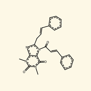 Cn1c(=O)c2c(nc(C/C=C/c3ccccc3)n2C(=O)/C=C/c2ccccc2)n(C)c1=O